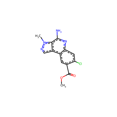 COC(=O)c1cc2c(cc1Cl)nc(N)c1c2cnn1C